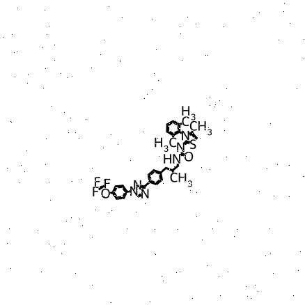 Cc1cccc(C)c1-n1c(C)cs/c1=N\C(=O)NCC(C)Cc1ccc(-c2ncn(-c3ccc(OC(F)(F)F)cc3)n2)cc1